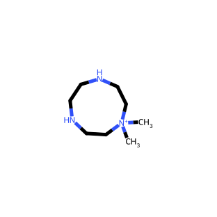 C[N+]1(C)CCNCCNCC1